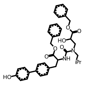 CC(C)CN(CC(O)C(=O)OCc1ccccc1)C(=O)NC(Cc1ccc(-c2ccc(O)cc2)cc1)C(=O)OCc1ccccc1